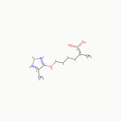 CC(CCCCOc1nsnc1C)=S(=O)=O